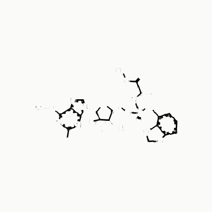 COc1nc(C)nc2c1ncn2[C@@H]1O[C@H](COP(=O)(N[C@@H](C)C(=O)OC(C)C)Oc2cccc3c2OCO3)[C@@H](O)[C@@]1(C)F